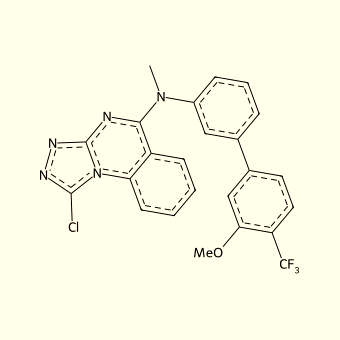 COc1cc(-c2cccc(N(C)c3nc4nnc(Cl)n4c4ccccc34)c2)ccc1C(F)(F)F